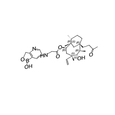 C=C[C@]1(C)C[C@@H](OC(=O)CNc2cnc3c(c2)B(O)OC3)[C@@]2(C)C[C@](CCC(C)=O)(CC[C@H]2C)[C@@H](C)[C@@H]1O